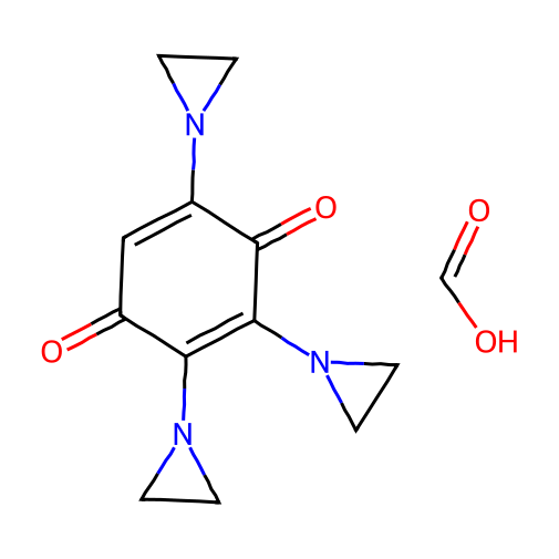 O=C1C=C(N2CC2)C(=O)C(N2CC2)=C1N1CC1.O=CO